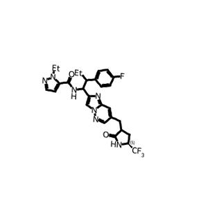 CCC(c1ccc(F)cc1)C(NC(=O)c1ccnn1CC)c1cn2ncc(CC3C[C@@H](C(F)(F)F)NC3=O)cc2n1